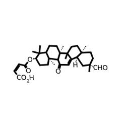 CC1(C)C2CC[C@]3(C)C(C(=O)C=C4[C@@H]5C[C@@](C)(C=O)CC[C@]5(C)CCC43C)[C@@]2(C)CC[C@@H]1OC(=O)/C=C\C(=O)O